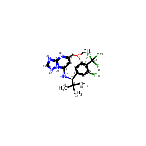 COCc1cc(N[C@@H](c2ccc(C(F)(F)F)c(F)c2)C(C)(C)C)n2ncnc2n1